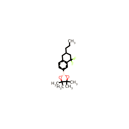 CCCC1Cc2ccc(B3OC(C)(C)C(C)(C)O3)cc2C(F)(F)C1